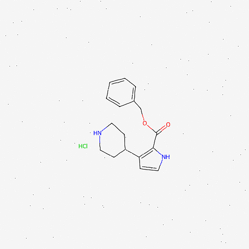 Cl.O=C(OCc1ccccc1)c1[nH]ccc1C1CCNCC1